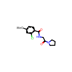 COc1ccc(C(=O)NCC(=O)N2CCCC2)c(Cl)c1